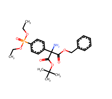 CCOP(=O)(OCC)c1ccc(C(N)(C(=O)OCc2ccccc2)C(=O)OC(C)(C)C)cc1